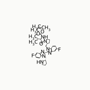 CC(C)[C@@H](NC(=O)OC(C)(C)C)C(=O)N1CCC[C@H]1Cn1c(-c2nc3cc(F)ccc3n2C[C@@H]2CCCN2)nc2cc(F)ccc21